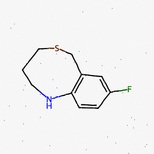 Fc1ccc2c(c1)CSCCCN2